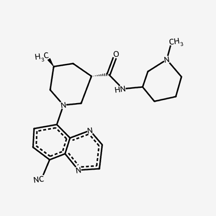 C[C@H]1C[C@H](C(=O)NC2CCCN(C)C2)CN(c2ccc(C#N)c3nccnc23)C1